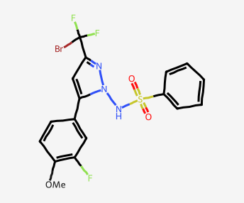 COc1ccc(-c2cc(C(F)(F)Br)nn2NS(=O)(=O)c2ccccc2)cc1F